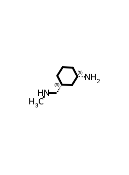 CNC[C@@H]1CCC[C@H](N)C1